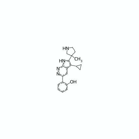 CC1(c2[nH]c3nnc(-c4ccccc4O)cc3c2C2CC2)CCNC1